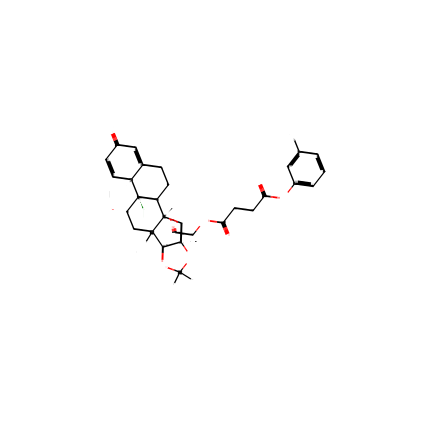 Cc1cccc(OC(=O)CCC(=O)OCC(=O)[C@@]23OC(C)(C)O[C@@H]2C[C@H]2C4CCC5=CC(=O)C=C[C@]5(C)[C@@]4(F)[C@@H](O)CC23C)c1